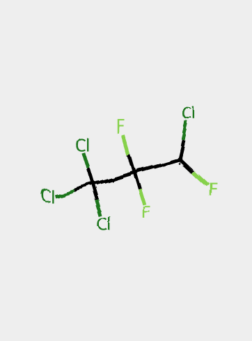 F[C](Cl)C(F)(F)C(Cl)(Cl)Cl